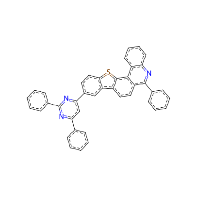 c1ccc(-c2cc(-c3ccc4sc5c(ccc6c(-c7ccccc7)nc7ccccc7c65)c4c3)nc(-c3ccccc3)n2)cc1